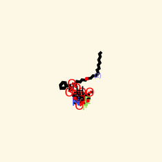 CCCCCCCC/C=C\CCCCCCCC(=O)O[C@H](C(=O)OC1=CC[C@@]2(OC(=O)C(F)(F)F)C3Cc4ccc(OC)c5c4[C@@]2(CCN3C)[C@H]1O5)c1ccccc1